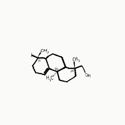 C[C@@]1(CO)CCC[C@@]2(C)C3=CCC[C@](C)(I)C3CCC12